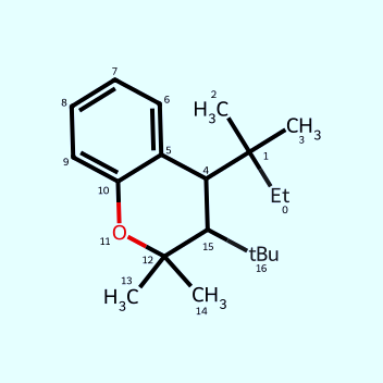 CCC(C)(C)C1c2ccccc2OC(C)(C)C1C(C)(C)C